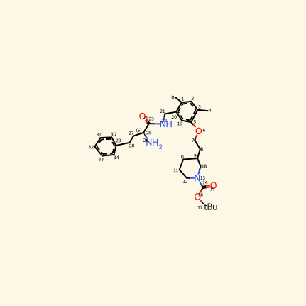 Cc1cc(C)c(OCCC2CCCN(C(=O)OC(C)(C)C)C2)cc1CNC(=O)[C@@H](N)CCc1ccccc1